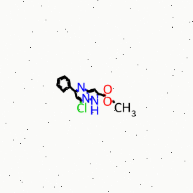 CCOC(=O)C1C=C2N=C(c3ccccc3)C=C(Cl)N2N1